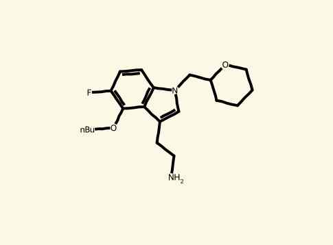 CCCCOc1c(F)ccc2c1c(CCN)cn2CC1CCCCO1